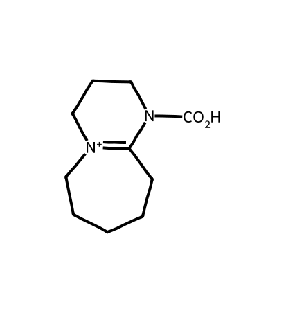 O=C(O)N1CCC[N+]2=C1CCCCC2